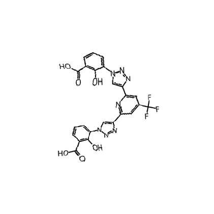 O=C(O)c1cccc(-n2cc(-c3cc(C(F)(F)F)cc(-c4cn(-c5cccc(C(=O)O)c5O)nn4)n3)nn2)c1O